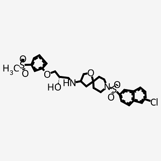 CS(=O)(=O)c1cccc(OC[C@@H](O)CNC2COC3(CCN(S(=O)(=O)c4ccc5cc(Cl)ccc5c4)CC3)C2)c1